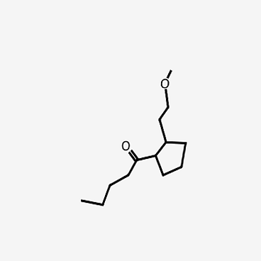 CCCCC(=O)C1CCCC1CCOC